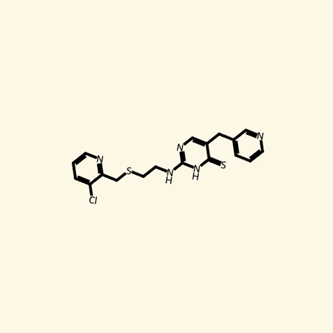 S=c1[nH]c(NCCSCc2ncccc2Cl)ncc1Cc1cccnc1